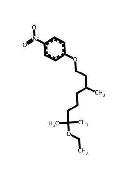 CCOC(C)(C)CCCC(C)CCOc1ccc([N+](=O)[O-])cc1